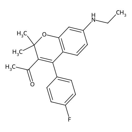 CCNc1ccc2c(c1)OC(C)(C)C(C(C)=O)=C2c1ccc(F)cc1